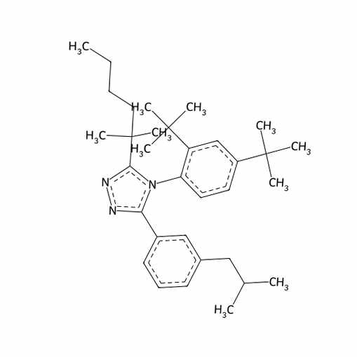 CCCCC(C)(C)c1nnc(-c2cccc(CC(C)C)c2)n1-c1ccc(C(C)(C)C)cc1C(C)(C)C